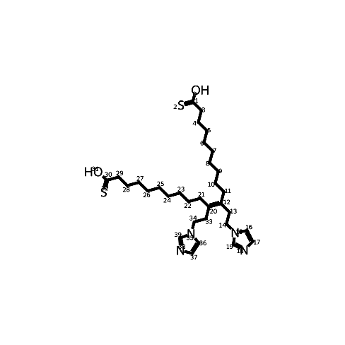 OC(=S)CCCCCCCCCC(CCn1ccnc1)=C(CCCCCCCCCC(O)=S)CCn1ccnc1